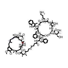 COc1cc2cc(c1Cl)N(C)C(=O)CC1(OC(=O)[C@H](C)N(C)C(=O)CCSSCCC(=O)N[C@H](Cc3ccccc3)C(=O)N[C@H]3CSSC[C@@H](C(=O)N[C@H](CO)[C@@H](C)O)NC(=O)[C@H]([C@@H](C)O)NC(=O)[C@H](CCCCN)NC(=O)[C@@H](Cc4c[nH]c5ccccc45)NC(=O)[C@H](Cc4ccccc4)NC3=O)O[C@@H]([C@H](C)[C@@H]3C[C@@](O)(NC(=O)O3)[C@@H](OC)/C=C/C=C(\C)C2)[C@@H]1C